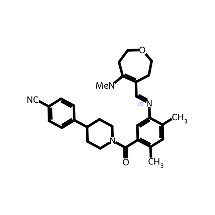 CNC1=C(/C=N/c2cc(C(=O)N3CCC(c4ccc(C#N)cc4)CC3)c(C)cc2C)CCOCC1